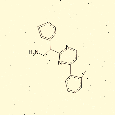 Cc1ccccc1-c1ccnc(C(CN)c2ccccc2)n1